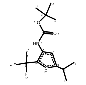 CC(C)c1cc(NC(=O)OC(C)(C)C)c(C(F)(F)F)s1